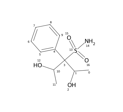 CC(O)C(c1ccccc1)(C(C)O)S(N)(=O)=O